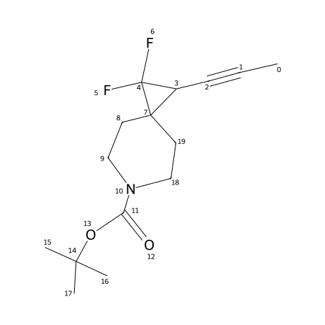 CC#CC1C(F)(F)C12CCN(C(=O)OC(C)(C)C)CC2